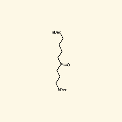 CCCCCCCCCCCCCCC(=O)CCCCCCCCCCCCC